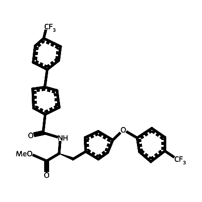 COC(=O)[C@H](Cc1ccc(Oc2ccc(C(F)(F)F)cc2)cc1)NC(=O)c1ccc(-c2ccc(C(F)(F)F)cc2)cc1